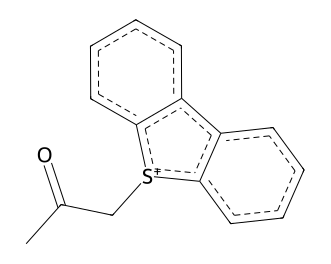 CC(=O)C[s+]1c2ccccc2c2ccccc21